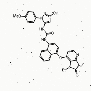 CCn1c(=O)[nH]c2nccc(Oc3ccc(NC(=O)Nc4cc(O)nn4-c4ccc(OC)cc4)c4ccccc34)c21